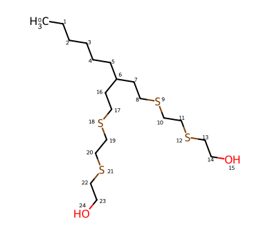 CCCCCCC(CCSCCSCCO)CCSCCSCCO